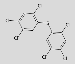 Clc1cc(Cl)c(Sc2cc(Cl)c(Cl)cc2Cl)cc1Cl